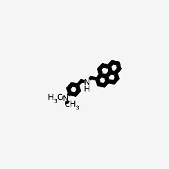 CN(C)c1ccc(CNCc2ccc3ccc4cccc5ccc2c3c45)cc1